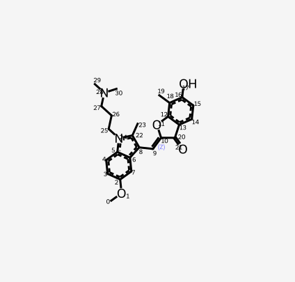 COc1ccc2c(c1)c(/C=C1\Oc3c(ccc(O)c3C)C1=O)c(C)n2CCCN(C)C